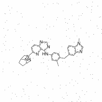 Cc1cc(Nc2ncnc3ccc(N4CC5CCC(C4)N5)nc23)ccc1Cc1ccc2c(c1)ncn2C